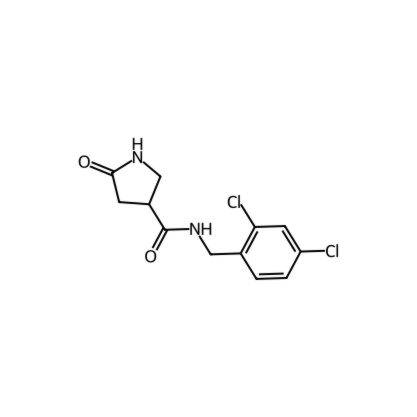 O=C1CC(C(=O)NCc2ccc(Cl)cc2Cl)CN1